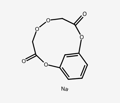 O=C1COOCC(=O)Oc2cccc(c2)O1.[Na]